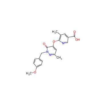 COc1ccc(Cn2nc(C)cc(Oc3ncc(C(=O)O)cc3C)c2=O)cc1